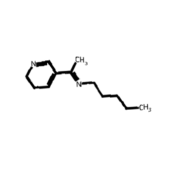 CCCCC/N=C(\C)C1=CCCN=C1